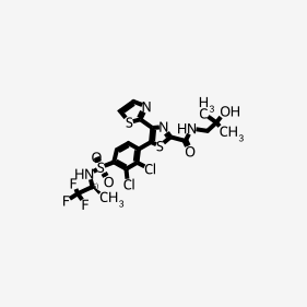 C[C@H](NS(=O)(=O)c1ccc(-c2sc(C(=O)NCC(C)(C)O)nc2-c2nccs2)c(Cl)c1Cl)C(F)(F)F